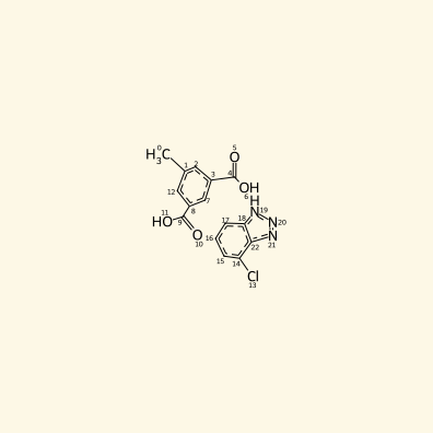 Cc1cc(C(=O)O)cc(C(=O)O)c1.Clc1cccc2[nH]nnc12